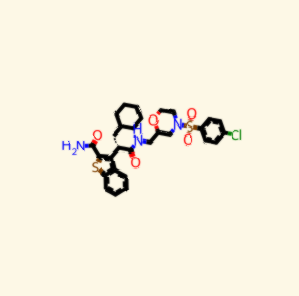 NC(=O)c1sc2ccccc2c1[C@H](CC1CCCCC1)C(=O)NCC1CN(S(=O)(=O)c2ccc(Cl)cc2)CCO1